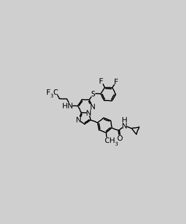 Cc1cc(-c2cnc3c(NCCC(F)(F)F)cc(Sc4cccc(F)c4F)nn23)ccc1C(=O)NC1CC1